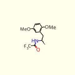 COc1ccc(OC)c(CC(C)NC(=O)C(F)(F)F)c1